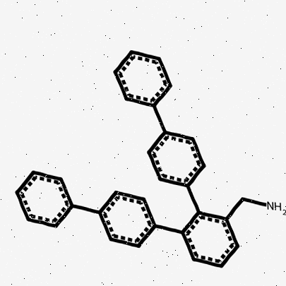 NCc1cccc(-c2ccc(-c3ccccc3)cc2)c1-c1ccc(-c2ccccc2)cc1